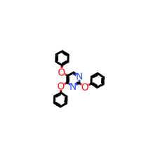 c1ccc(Oc2ncc(Oc3ccccc3)c(Oc3ccccc3)n2)cc1